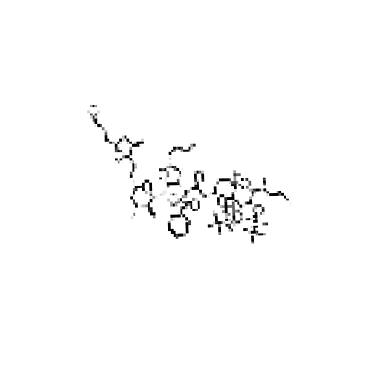 C=C1C[C@H](CCC=O)OC1CC[C@H]1C[C@@H](C)C(=C)C(C[C@@H]2O[C@H](C[C@H](C)CC)[C@H](C)C2[C@H](C(=O)C[C@H]2CC[C@@H]3O[C@@H]([C@@H](C)/C=C/I)[C@@H](O[Si](C)(C)C(C)(C)C)[C@@H](O[Si](C)(C)C(C)(C)C)[C@H]3O2)S(=O)(=O)c2ccccc2)O1